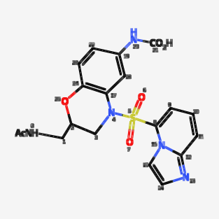 CC(=O)NCC1CN(S(=O)(=O)c2cccc3nccn23)c2cc(NC(=O)O)ccc2O1